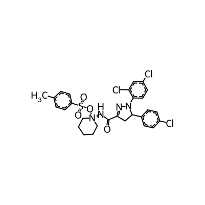 Cc1ccc(S(=O)(=O)O[N+]2(NC(=O)C3=NN(c4ccc(Cl)cc4Cl)C(c4ccc(Cl)cc4)C3)CCCCC2)cc1